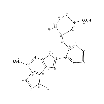 CNc1nc2[nH]c(-c3ccccc3CC3CN(C(=O)O)CCN3C)cc2c2c1ncn2C